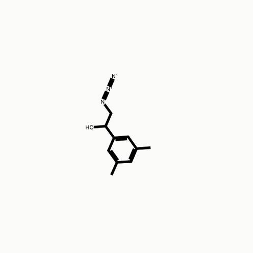 Cc1cc(C)cc(C(O)CN=[N+]=[N-])c1